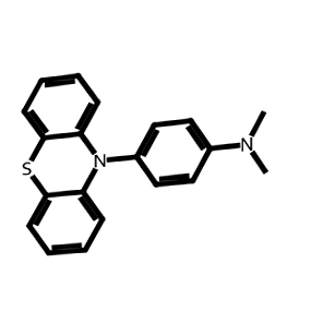 CN(C)c1ccc(N2c3ccccc3Sc3ccccc32)cc1